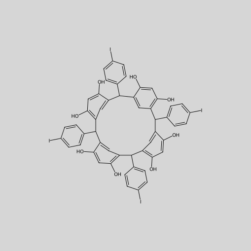 Oc1cc(O)c2cc1C(c1ccc(I)cc1)c1cc(c(O)cc1O)C(c1ccc(I)cc1)c1cc(c(O)cc1O)C(c1ccc(I)cc1)c1cc(c(O)cc1O)C2c1ccc(I)cc1